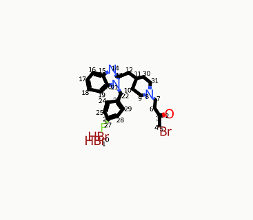 Br.Br.O=C(CBr)CCN1CCC(Cc2nc3ccccc3n2Cc2ccc(F)cc2)CC1